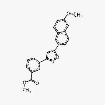 COC(=O)c1cccc(-c2cc(-c3ccc4cc(OC)ccc4c3)on2)c1